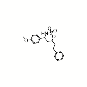 COc1ccc(C2CC(CCc3ccccc3)OS(=O)(=O)N2)cc1